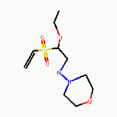 C=CS(=O)(=O)C(C[N]N1CCOCC1)OCC